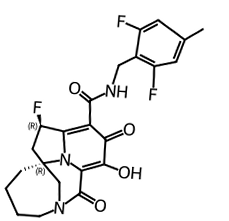 Cc1cc(F)c(CNC(=O)c2c3n4c(c(O)c2=O)C(=O)N2CCCC[C@@]4(C[C@H]3F)C2)c(F)c1